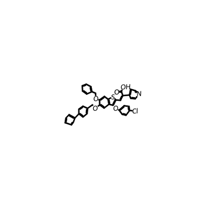 O=C(O)C(=Cc1sc2cc(OCc3ccccc3)c(OCc3ccc(-c4ccccc4)cc3)cc2c1Oc1ccc(Cl)cc1)c1ccncc1